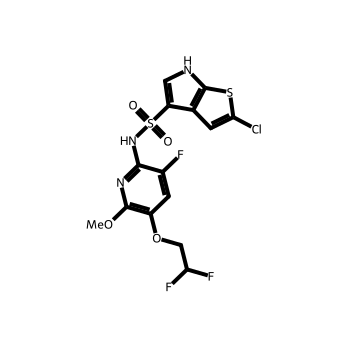 COc1nc(NS(=O)(=O)c2c[nH]c3sc(Cl)cc23)c(F)cc1OCC(F)F